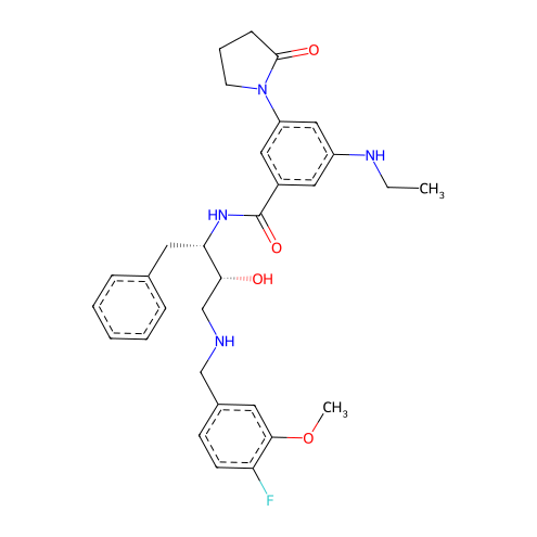 CCNc1cc(C(=O)N[C@@H](Cc2ccccc2)[C@H](O)CNCc2ccc(F)c(OC)c2)cc(N2CCCC2=O)c1